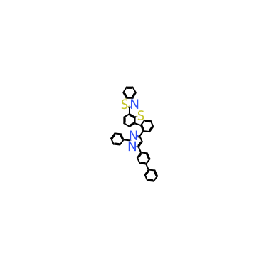 c1ccc(-c2ccc(-c3cc(-c4cccc5sc6c(-c7nc8ccccc8s7)cccc6c45)nc(-c4ccccc4)n3)cc2)cc1